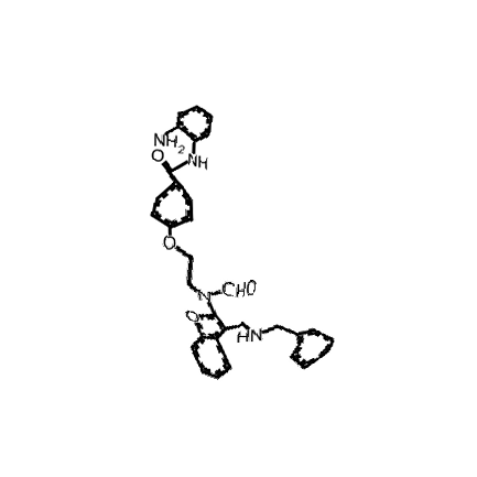 Nc1ccccc1NC(=O)c1ccc(OCCN(C=O)c2oc3ccccc3c2CNCc2ccccc2)cc1